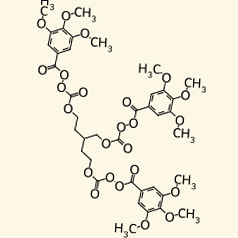 COc1cc(C(=O)OOC(=O)OCCC(CCOC(=O)OOC(=O)c2cc(OC)c(OC)c(OC)c2)COC(=O)OOC(=O)c2cc(OC)c(OC)c(OC)c2)cc(OC)c1OC